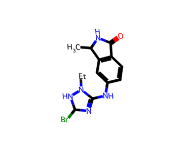 CCN1NC(Br)N=C1Nc1ccc2c(c1)C(C)NC2=O